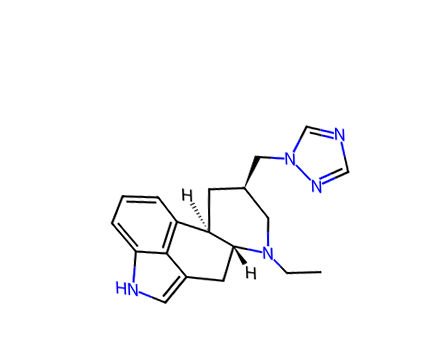 CCN1C[C@H](Cn2cncn2)C[C@@H]2c3cccc4[nH]cc(c34)C[C@H]21